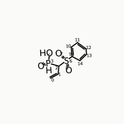 C=CC([PH](=O)O)S(=O)(=O)c1ccccc1